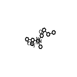 Cc1ccccc1-c1ccc(-c2nc(-c3ccccc3)nc(-c3ccc4c(c3)oc3cccc(-c5cccc(-c6ccccc6)c5)c34)n2)c2ccccc12